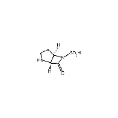 O=C1[C@@H]2NCC[C@H]2N1S(=O)(=O)O